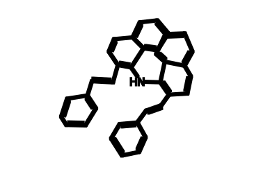 C(=Cc1ccc2ccccc2c1Nc1c(C=Cc2ccccc2)ccc2ccccc12)c1ccccc1